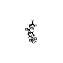 COS(=O)(=O)N1CCN(C(=O)n2cc(C)cn2)CC1